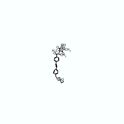 CNC(=O)[C@@](C)(C(=O)NO)N(C)C(=O)c1ccc(C#Cc2ccc(CN3CC4(CCO4)C3)cc2)cc1